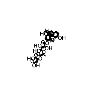 C[C@H](OC(O)[C@H](O)[C@@H](O)C(=O)OC1=CC[C@@]2(O)[C@H]3Cc4ccc(O)c5c4C2(CCN3C)[C@H]1O5)C(=O)O[C@@H](CC(=O)O)C(=O)O